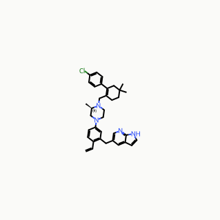 C=Cc1ccc(N2CCN(CC3=C(c4ccc(Cl)cc4)CC(C)(C)CC3)[C@H](C)C2)cc1Cc1cnc2[nH]ccc2c1